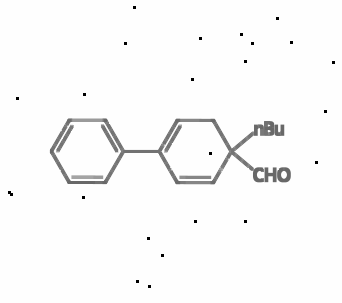 CCCCC1(C=O)C=CC(c2ccccc2)=CC1